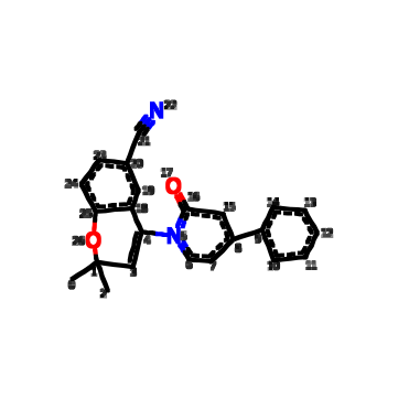 CC1(C)C=C(n2ccc(-c3ccccc3)cc2=O)c2cc(C#N)ccc2O1